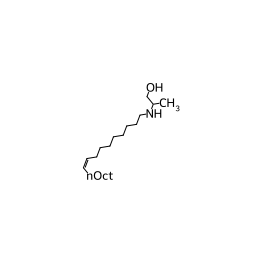 CCCCCCCC/C=C\CCCCCCCCNC(C)CO